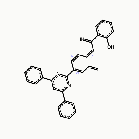 C=C\C=C(/C=C\C=C/C(=N)c1ccccc1O)c1nc(-c2ccccc2)cc(-c2ccccc2)n1